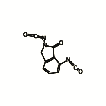 O=C=Nc1cccc2c1C(=O)N(N=C=O)C2